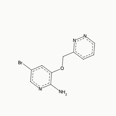 Nc1ncc(Br)cc1OCc1cccnn1